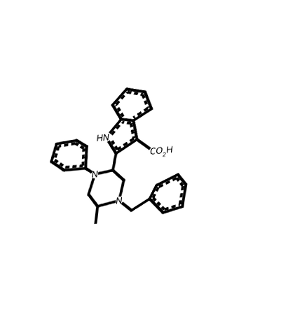 CC1CN(c2ccccc2)C(c2[nH]c3ccccc3c2C(=O)O)CN1Cc1ccccc1